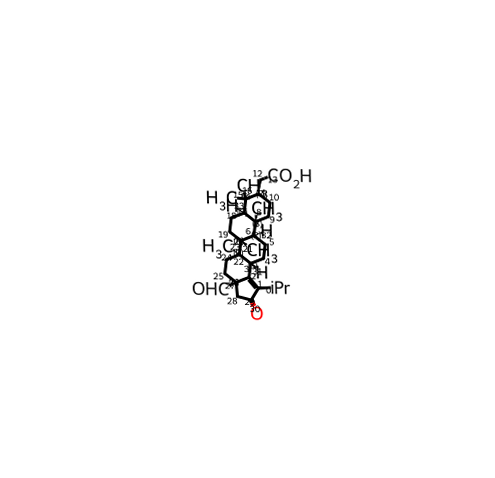 CC(C)C1=C2[C@H]3CC[C@@H]4[C@@]5(C)CC[C@H](CC(=O)O)C(C)(C)[C@@H]5CC[C@@]4(C)[C@]3(C)CC[C@@]2(C=O)CC1=O